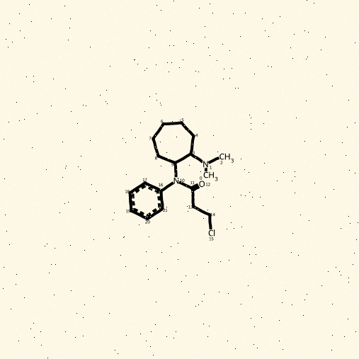 CN(C)C1CCCCCC1N(C(=O)CCCl)c1ccccc1